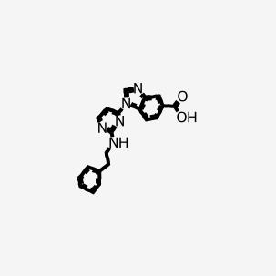 O=C(O)c1ccc2c(c1)ncn2-c1ccnc(NCCc2ccccc2)n1